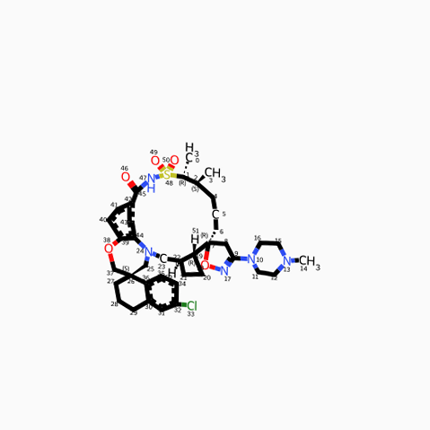 C[C@@H]1[C@@H](C)CCC[C@@]2(CC(N3CCN(C)CC3)=NO2)[C@@H]2CC[C@H]2CN2C[C@@]3(CCCc4cc(Cl)ccc43)COc3ccc(cc32)C(=O)NS1(=O)=O